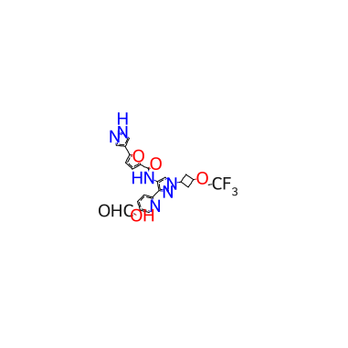 O=C(Nc1cn(C2CC(OCC(F)(F)F)C2)nc1-c1ccccn1)c1ccc(-c2cn[nH]c2)o1.O=CO